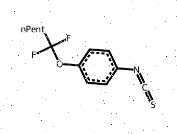 CCCCCC(F)(F)Oc1ccc(N=C=S)cc1